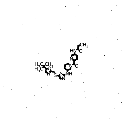 C=CC(=O)Nc1ccc(C(=O)N2CCCC(Nc3ncc(SCc4ncc(C(C)(C)C)o4)s3)C2)nc1